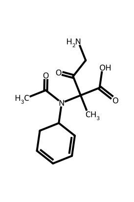 CC(=O)N(C1C=CC=CC1)C(C)(C(=O)O)C(=O)CN